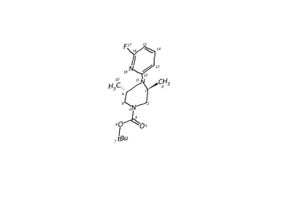 C[C@H]1CN(C(=O)OC(C)(C)C)C[C@H](C)N1c1cccc(F)n1